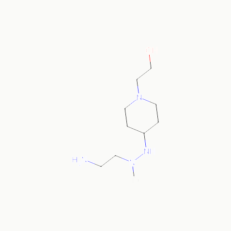 CCN(CCN)NC1CCN(CCO)CC1